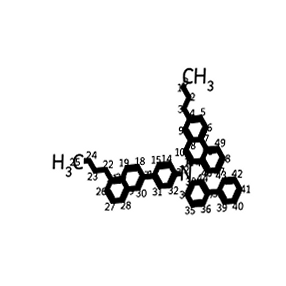 CCCCc1ccc2c(c1)cc(N(c1ccc(-c3ccc4c(CCCC)cccc4c3)cc1)c1cccc(-c3ccccc3)c1)c1ccccc12